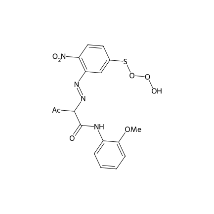 COc1ccccc1NC(=O)C(/N=N/c1cc(SOOO)ccc1[N+](=O)[O-])C(C)=O